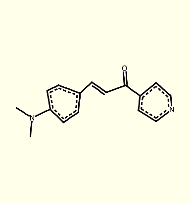 CN(C)c1ccc(/C=C/C(=O)c2ccncc2)cc1